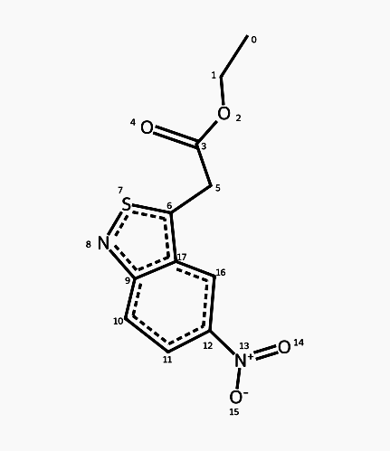 CCOC(=O)Cc1snc2ccc([N+](=O)[O-])cc12